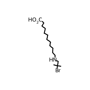 CC(C)(Br)CNCCCCCCCCCCCC(=O)O